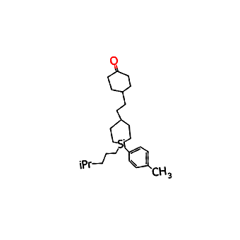 Cc1ccc([Si]2(CCCC(C)C)CCC(CCC3CCC(=O)CC3)CC2)cc1